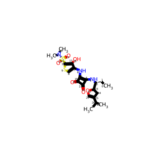 CC[C@@H](Nc1c(Nc2csc(S(=O)(=O)N(C)C)c2O)c(=O)c1=O)C1CC(C(C)C)=CO1